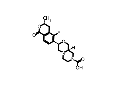 C[C@@H]1Cc2c(ccc([C@@H]3CN4CCN(C(=O)O)C[C@@H]4CO3)c2F)C(=O)O1